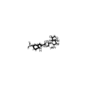 CC(C)C[C@H](NC(=O)c1cc2cc(N(C)C)ccc2[nH]1)C(=O)N1C[C@H](F)[C@H]2OCC(=O)[C@H]21